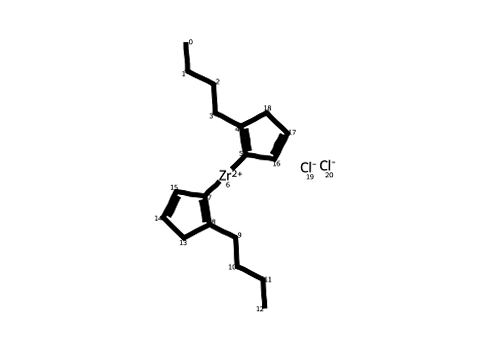 CCCCC1=[C]([Zr+2][C]2=C(CCCC)CC=C2)C=CC1.[Cl-].[Cl-]